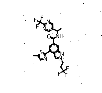 Cc1cnc(-c2cc(C(=O)NC(C)c3cnc(C(F)(F)F)nc3)cc3nn(CCC(F)(F)F)cc23)s1